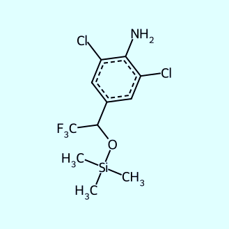 C[Si](C)(C)OC(c1cc(Cl)c(N)c(Cl)c1)C(F)(F)F